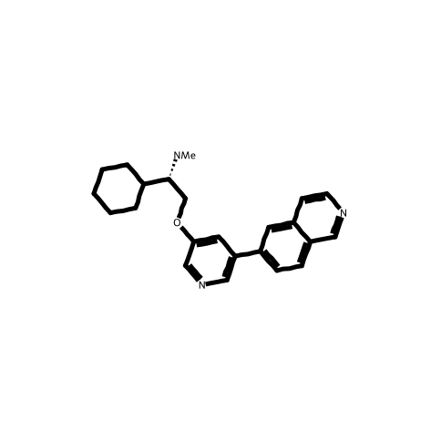 CN[C@H](COc1cncc(-c2ccc3cnccc3c2)c1)C1CCCCC1